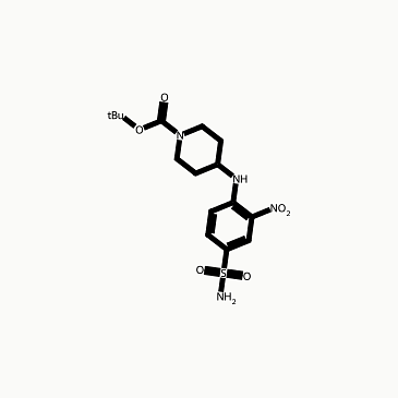 CC(C)(C)OC(=O)N1CCC(Nc2ccc(S(N)(=O)=O)cc2[N+](=O)[O-])CC1